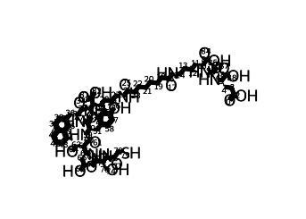 O=C(O)CC[C@H](NC(=O)N[C@@H](CCCCNC(=O)CCCCCCC(=O)NCCCC[C@@H](NC(=O)[C@@H](Cc1ccc2ccccc2c1)NC(=O)[C@@H](Cc1ccc(O)cc1)NC(=O)[C@H](CO)[C@H](CCO)NC(=O)[C@H](CO)NC(=O)CS)C(=O)O)C(=O)O)C(=O)O